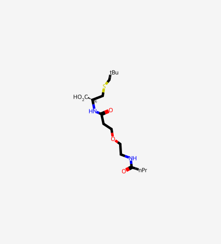 CCCC(=O)NCCOCCC(=O)N[C@@H](CSCC(C)(C)C)C(=O)O